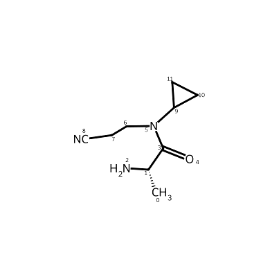 C[C@H](N)C(=O)N(CCC#N)C1CC1